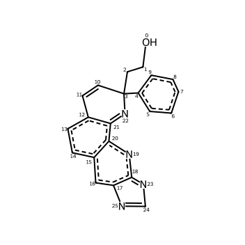 OCCC1(c2ccccc2)C=Cc2ccc3cc4c(nc3c2=N1)=NC=N4